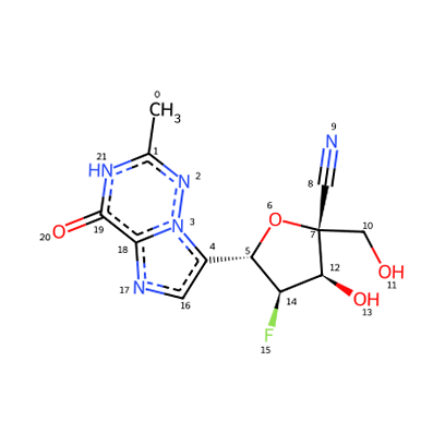 Cc1nn2c([C@@H]3O[C@](C#N)(CO)[C@@H](O)[C@H]3F)cnc2c(=O)[nH]1